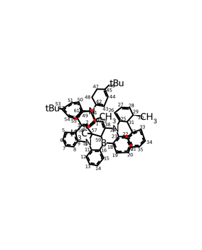 CC1C=C(c2ccccc2N2c3ccccc3B3c4ccccc4N(C4=CC=C[C@@H](C)C4c4ccccc4)C4=CC(N(C5=CC=C(C(C)(C)C)CC5)c5ccc(C(C)(C)C)cc5)=CC2(C)C34)C=CC1